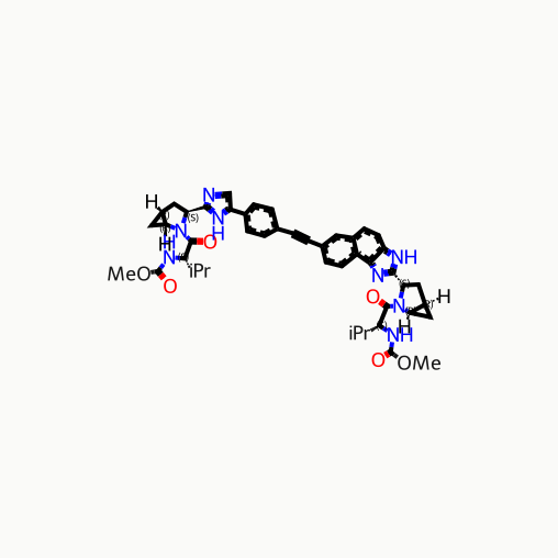 COC(=O)N[C@H](C(=O)N1[C@@H]2C[C@@H]2C[C@H]1c1ncc(-c2ccc(C#Cc3ccc4c(ccc5[nH]c([C@@H]6C[C@H]7C[C@H]7N6C(=O)[C@@H](NC(=O)OC)C(C)C)nc54)c3)cc2)[nH]1)C(C)C